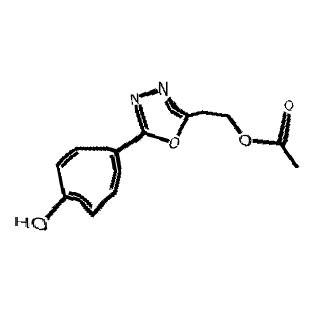 CC(=O)OCc1nnc(-c2ccc(O)cc2)o1